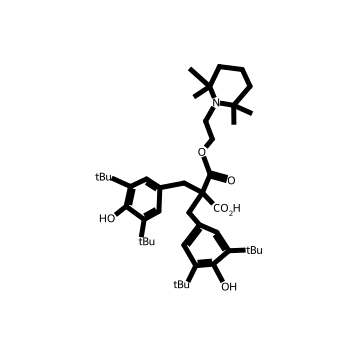 CC(C)(C)c1cc(CC(Cc2cc(C(C)(C)C)c(O)c(C(C)(C)C)c2)(C(=O)O)C(=O)OCCN2C(C)(C)CCCC2(C)C)cc(C(C)(C)C)c1O